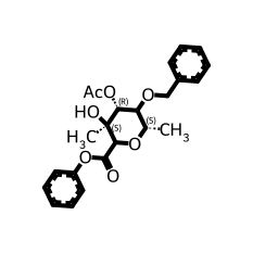 CC(=O)O[C@@H]1C(OCc2ccccc2)[C@H](C)OC(C(=O)Oc2ccccc2)[C@@]1(C)O